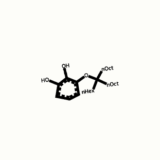 CCCCCCCCC(CCCCCC)(CCCCCCCC)Oc1cccc(O)c1O